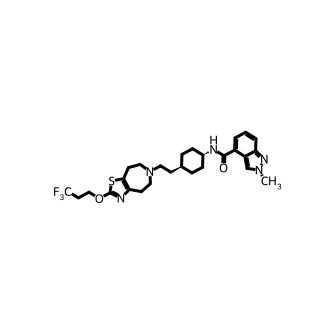 Cn1cc2c(C(=O)N[C@H]3CC[C@H](CCN4CCc5nc(OCCC(F)(F)F)sc5CC4)CC3)cccc2n1